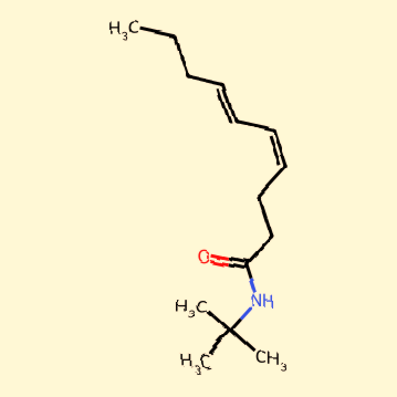 CCCC=C/C=C\CCC(=O)NC(C)(C)C